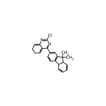 CC1(C)c2cc(-c3nc(Cl)nc4c3=CCCC=4)ccc2C2C=CC=CC21